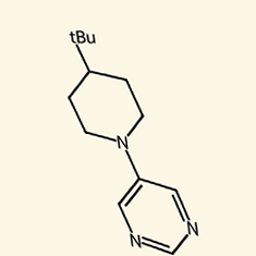 CC(C)(C)C1CCN(c2cncnc2)CC1